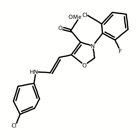 COC(=O)C1=C(/C=C/Nc2ccc(Cl)cc2)OCN1c1c(F)cccc1Cl